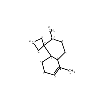 CC1=CCCC2C1CCN(C)C21COC1